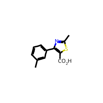 Cc1cccc(-c2nc(C)sc2C(=O)O)c1